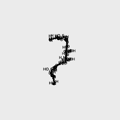 Cc1cc(OCCCC(=O)NCCNC(=O)[C@H](CSOOO)NC(=O)CC[C@H](N)C(=O)N[C@@H](CSOOO)C(=O)NCCNC(=O)CCCOc2cc(C)c(S(=O)(=O)N[C@@H](CNC(=O)c3ccc4c(cnn4CCCNc4ncc[nH]4)c3)C(=O)O)c(C)c2)cc(C)c1S(=O)(=O)N[C@@H](CNC(=O)c1ccc2c(cnn2CCCNc2ncc[nH]2)c1)C(=O)O